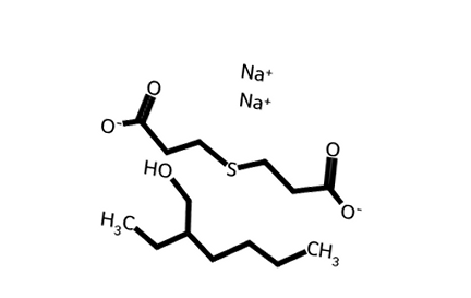 CCCCC(CC)CO.O=C([O-])CCSCCC(=O)[O-].[Na+].[Na+]